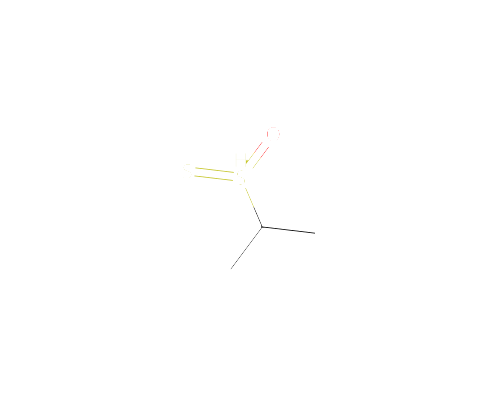 CC(C)[SH](=O)=S